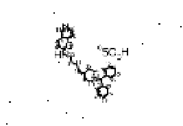 CS(=O)(=O)O.O=C(/C=C\c1cccnc1)NCCCCC1CCN(C(c2ccccc2)c2ccccc2)CC1